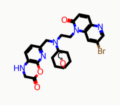 O=C1CNc2ccc(CN(CCn3c(=O)ccc4ncc(Br)cc43)C34CCC(CC3)OC4)nc2O1